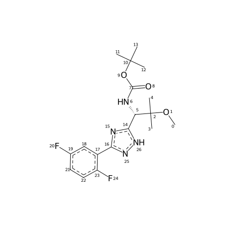 COC(C)(C)[C@@H](NC(=O)OC(C)(C)C)c1nc(-c2cc(F)ccc2F)n[nH]1